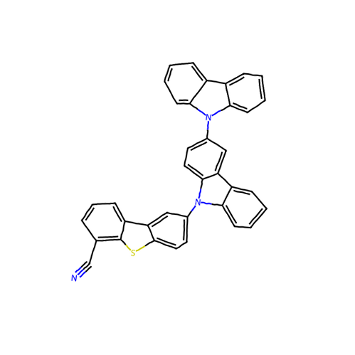 N#Cc1cccc2c1sc1ccc(-n3c4ccccc4c4cc(-n5c6ccccc6c6ccccc65)ccc43)cc12